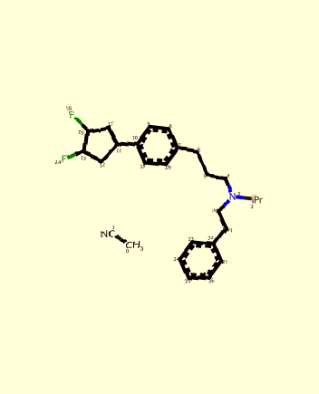 CC#N.CC(C)N(CCCc1ccc(C2CC(F)C(F)C2)cc1)CCc1ccccc1